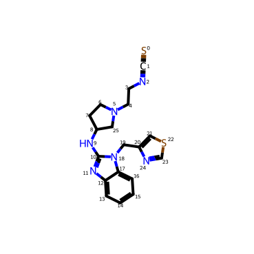 S=C=NCCN1CCC(Nc2nc3ccccc3n2Cc2cscn2)C1